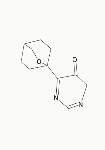 O=C1CN=[C]N=C1C12CCC(CC1)CO2